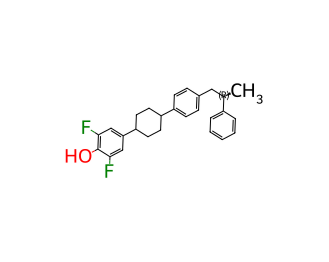 C[C@H](Cc1ccc(C2CCC(c3cc(F)c(O)c(F)c3)CC2)cc1)c1ccccc1